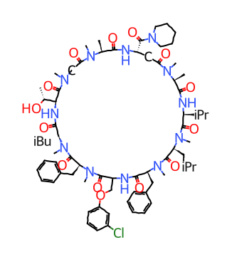 CC[C@H](C)[C@H]1C(=O)N[C@@H]([C@@H](C)O)C(=O)N(C)CC(=O)N(C)[C@@H](C)C(=O)N[C@H](C(=O)N2CCCCC2)CC(=O)N(C)[C@@H](C)C(=O)N[C@@H](C(C)C)C(=O)N(C)[C@@H](CC(C)C)C(=O)N(C)[C@@H](Cc2ccccc2)C(=O)NC(COc2cccc(Cl)c2)C(=O)N(C)[C@@H](Cc2ccccc2)C(=O)N1C